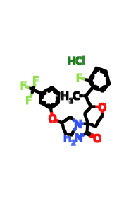 C[C@@H](c1ccccc1F)C1CC(C(N)=O)(N2CCC(Oc3cccc(C(F)(F)F)c3)C2)CCO1.Cl